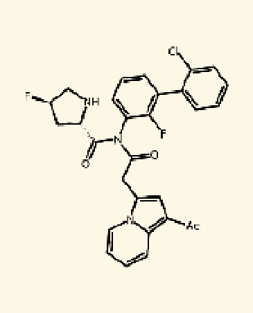 CC(=O)c1cc(CC(=O)N(C(=O)[C@@H]2C[C@@H](F)CN2)c2cccc(-c3ccccc3Cl)c2F)n2ccccc12